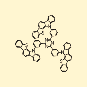 c1cc(-c2nc(-c3cccc(-n4c5ccccc5c5ccc6c7ccccc7sc6c54)c3)nc(-c3cccc(-n4c5ccccc5c5ccc6c7ccccc7sc6c54)c3)n2)cc(-n2c3ccccc3c3ccc4c5ccccc5sc4c32)c1